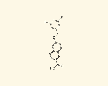 O=C(O)c1cnc2cc(OCc3cc(F)cc(F)c3)ccc2c1